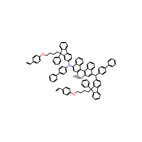 C=Cc1ccc(OCCCCC2(c3ccccc3)c3ccccc3-c3ccc(C(c4ccc(-c5ccccc5)cc4)c4cc(CCCC)c(-c5c(CCCC)cc(N(c6ccc(-c7ccccc7)cc6)c6ccc7c(c6)C(CCCCOc6ccc(C=C)cc6)(c6ccccc6)c6ccccc6-7)c6ccccc56)c5ccccc45)cc32)cc1